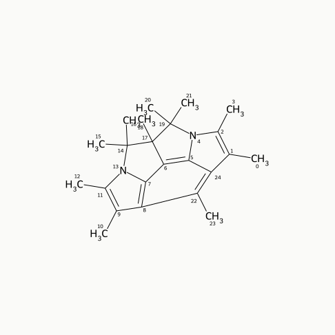 Cc1c(C)n2c3c4c5c(c(C)c(C)n5C(C)(C)C4(C)C2(C)C)c(C)c13